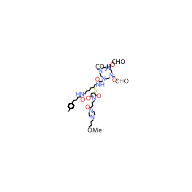 COCCCCN1CCN(C(=O)CCCN2C(=O)CC(SC(CCCCNC(=O)CCCc3ccc(C)cc3)CNC(=O)CN3CCN(COC=O)CCN(COC=O)CCN(CC(=O)O)CC3)C2=O)CC1